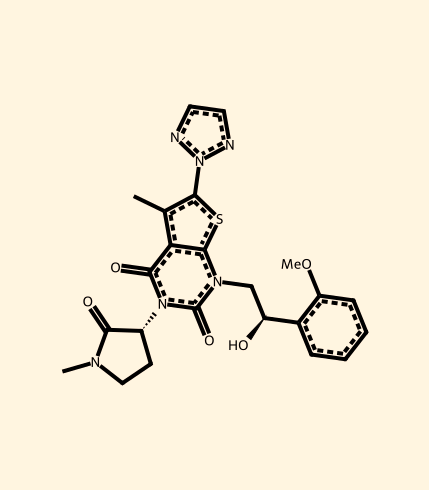 COc1ccccc1[C@@H](O)Cn1c(=O)n([C@@H]2CCN(C)C2=O)c(=O)c2c(C)c(-n3nccn3)sc21